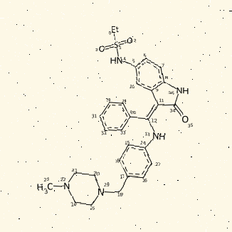 CCS(=O)(=O)Nc1ccc2c(c1)/C(=C(/Nc1ccc(CN3CCN(C)CC3)cc1)c1ccccc1)C(=O)N2